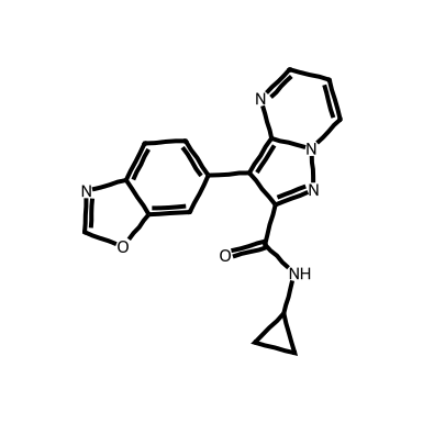 O=C(NC1CC1)c1nn2cccnc2c1-c1ccc2ncoc2c1